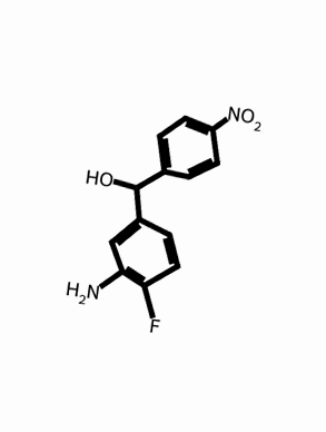 Nc1cc(C(O)c2ccc([N+](=O)[O-])cc2)ccc1F